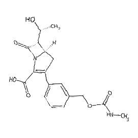 CNC(=O)OCc1cccc(C2=C(C(=O)O)N3C(=O)[C@H]([C@@H](C)O)[C@H]3C2)c1